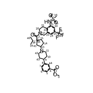 COC(=O)c1cccc(C2CCN(C3CC[C@@](C(=O)N4CCc5c(cc(C(F)(F)F)cc5NS(C)(=O)=O)C4)(C(C)C)C3)CC2)c1